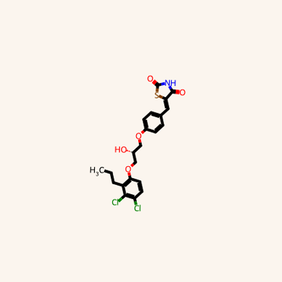 CCCc1c(OC[C@H](O)COc2ccc(/C=C3\SC(=O)NC3=O)cc2)ccc(Cl)c1Cl